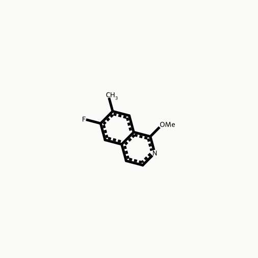 COc1nccc2cc(F)c(C)cc12